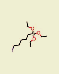 CCO[Si](CCCCCI)(OCC)OCC